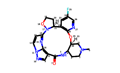 CN1CCC2NC(=O)c3cnn4ccc(nc34)N3OCC[C@H]3c3cc(F)cnc3O[C@H]2C1